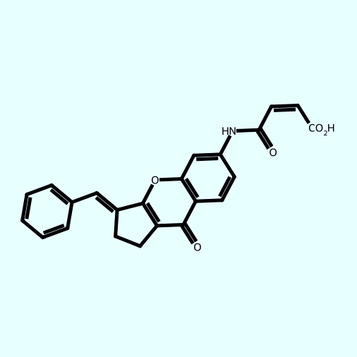 O=C(O)/C=C\C(=O)Nc1ccc2c(=O)c3c(oc2c1)C(=Cc1ccccc1)CC3